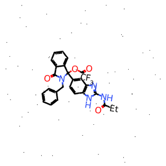 CCC(=O)Nc1nc2cc(C3(OC(=O)C(F)(F)F)c4ccccc4C(=O)N3Cc3ccccc3)ccc2[nH]1